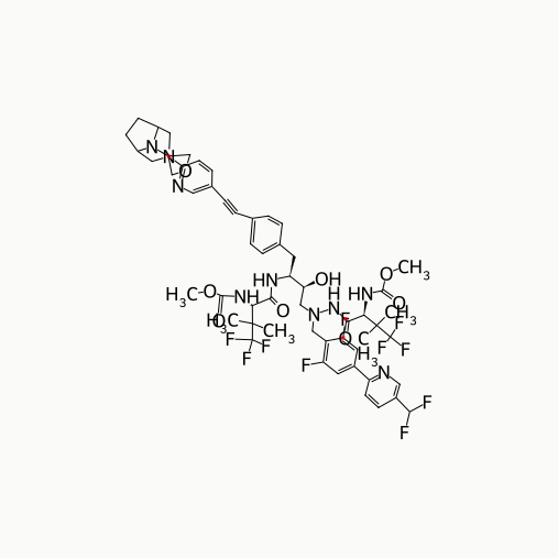 COC(=O)N[C@H](C(=O)N[C@@H](Cc1ccc(C#Cc2ccc(N3CC4CCC(C3)N4C3COC3)nc2)cc1)[C@@H](O)CN(Cc1c(F)cc(-c2ccc(C(F)F)cn2)cc1F)NC(=O)[C@@H](NC(=O)OC)C(C)(C)C(F)(F)F)C(C)(C)C(F)(F)F